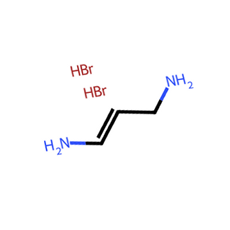 Br.Br.NC=CCN